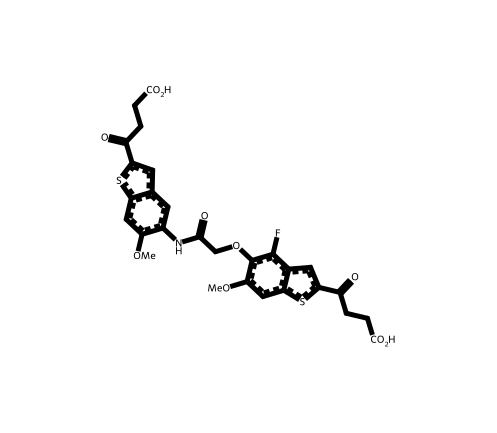 COc1cc2sc(C(=O)CCC(=O)O)cc2cc1NC(=O)COc1c(OC)cc2sc(C(=O)CCC(=O)O)cc2c1F